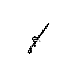 CCCCCCCCCCCCCCCCCCOCC(CC[S+]([O-])CCOCC[n+]1ccccc1)Oc1ncccn1.[Cl-]